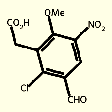 COc1c([N+](=O)[O-])cc(C=O)c(Cl)c1CC(=O)O